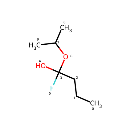 CCCC(O)(F)OC(C)C